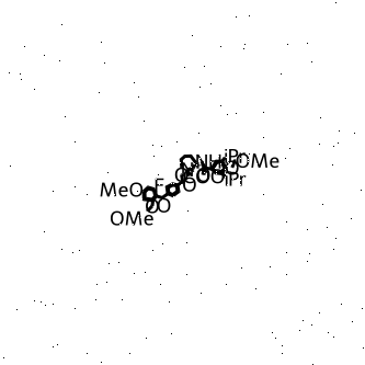 COCOc1cc(OC)cc(F)c1C(=O)c1ccc(C(=O)O[N+]2(C(=O)[O-])CCCCC(NC(=O)c3cc(C(C)C)c(OCOC)c(C(C)C)c3)C2)cc1